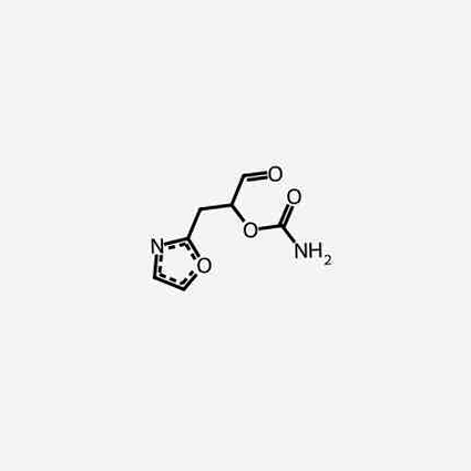 NC(=O)OC(C=O)Cc1ncco1